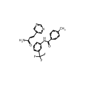 Cc1ccc(C(=O)Nc2cccc(C(F)(F)F)c2)cc1.NC(=O)C=Cc1cncnc1